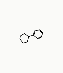 [c]1cccc(C2CCCCC2)c1